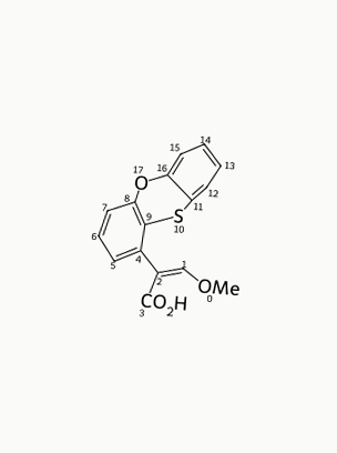 COC=C(C(=O)O)c1cccc2c1Sc1ccccc1O2